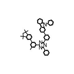 Cc1cc(-c2ccc3c(c2)C(C)(C)CC3(C)C)cc(-c2nc(-c3ccccc3)nc(-c3cccc(-c4ccc5c6ccccc6n(-c6ccccc6)c5c4)c3)n2)c1